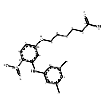 Cc1cc(C)cc(Nc2cc(OCCCCCC(=O)O)ccc2[N+](=O)[O-])c1